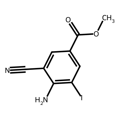 COC(=O)c1cc(I)c(N)c(C#N)c1